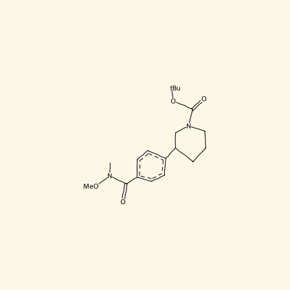 CON(C)C(=O)c1ccc(C2CCCN(C(=O)OC(C)(C)C)C2)cc1